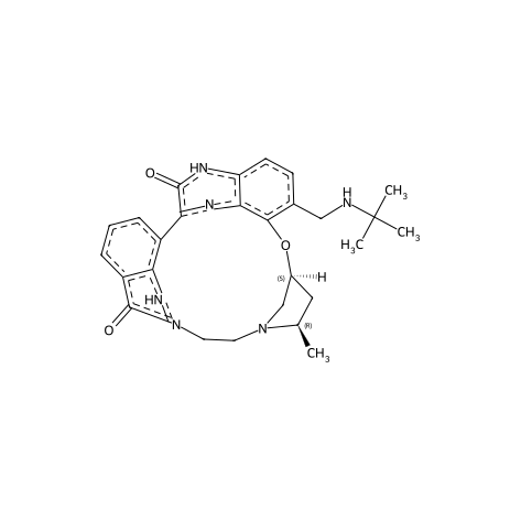 C[C@@H]1C[C@H]2CN1CCn1[nH]c3c(cccc3c1=O)-c1nc3c(c(CNC(C)(C)C)ccc3[nH]c1=O)O2